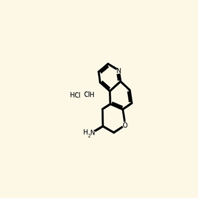 Cl.Cl.NC1COc2ccc3ncccc3c2C1